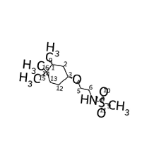 C[C@H]1C[C@@H](OCCNS(C)(=O)=O)CCC1(C)C